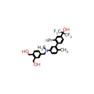 CCCc1cc(C(O)(C(F)(F)F)C(F)(F)F)ccc1-c1cc(N(C)Cc2ccc(CO)c(CO)c2)ccc1C